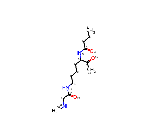 CCCC(=O)NC(CCCCNC(=O)CNC)C(C)=O